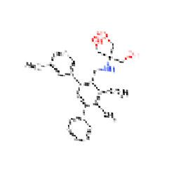 COc1cccc(-c2cc(-c3ccccc3)c(C)c(C(=O)O)c2CNC(CO)(CO)CO)c1